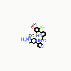 CC(C)Oc1cc(F)c(-c2nc(C(=O)Nc3cnccc3C3CCC(N(N)C(=O)O)C(C)C3)ccc2F)c(F)c1